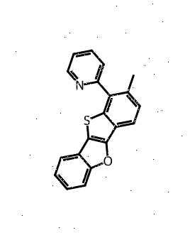 Cc1ccc2c(sc3c4ccccc4oc23)c1-c1ccccn1